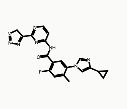 Cc1cc(F)c(C(=O)Nc2ccnc(C3=NN=NC3)n2)cc1-n1cnc(C2CC2)c1